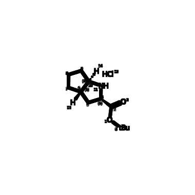 CC(C)(C)OC(=O)[C@H]1C[C@@H]2CCC[C@H]2N1.Cl